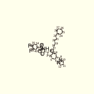 O=C(CCc1ccc(Cn2cccn2)cc1OCCCCCCc1ccccc1)NS(=O)(=O)c1ccc(F)c(F)c1